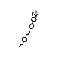 CCC[C@H]1CC[C@H](/C=C/C#C[C@H]2CC[C@H](c3ccc(C(F)(F)F)cc3)CC2)CC1